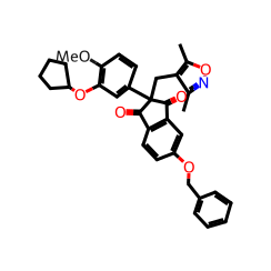 COc1ccc(C2(Cc3c(C)noc3C)C(=O)c3ccc(OCc4ccccc4)cc3C2=O)cc1OC1CCCC1